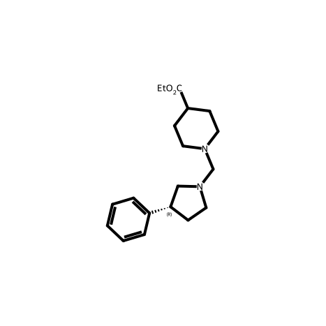 CCOC(=O)C1CCN(CN2CC[C@H](c3ccccc3)C2)CC1